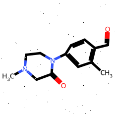 Cc1cc(N2CCN(C)CC2=O)ccc1C=O